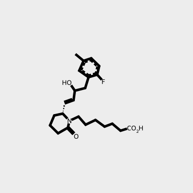 Cc1ccc(F)c(CC(O)/C=C/[C@H]2CCCC(=O)N2CCCCCCC(=O)O)c1